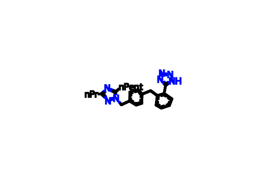 CCCCCc1nc(CCC)nn1Cc1ccc(Cc2ccccc2-c2nnn[nH]2)cc1